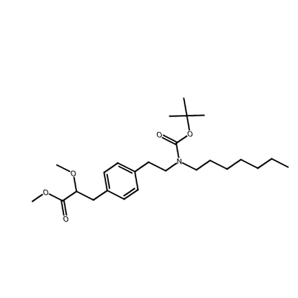 CCCCCCCN(CCc1ccc(CC(OC)C(=O)OC)cc1)C(=O)OC(C)(C)C